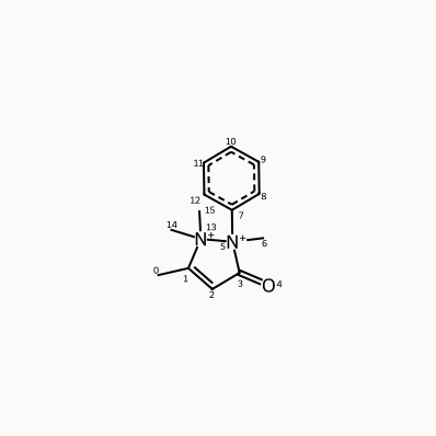 CC1=CC(=O)[N+](C)(c2ccccc2)[N+]1(C)C